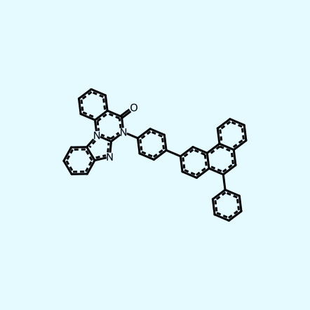 O=c1c2ccccc2n2c3ccccc3nc2n1-c1ccc(-c2ccc3c(-c4ccccc4)cc4ccccc4c3c2)cc1